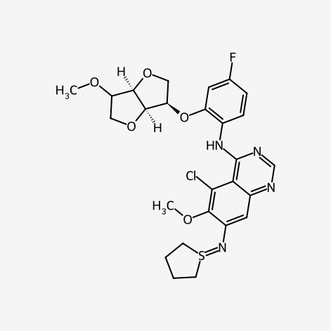 COc1c(N=S2CCCC2)cc2ncnc(Nc3ccc(F)cc3O[C@@H]3CO[C@@H]4C(OC)CO[C@@H]43)c2c1Cl